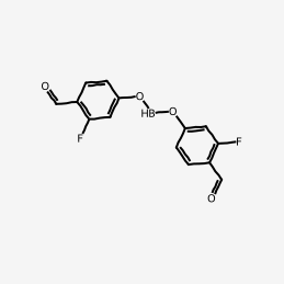 O=Cc1ccc(OBOc2ccc(C=O)c(F)c2)cc1F